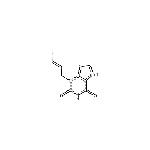 O=c1[nH]c(=O)n(C/C=C/I)c2nc[nH]c12